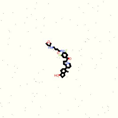 Cc1c(-c2cccn3c(C(=O)c4cc(F)c(NC(=O)/C=C/CN[C@@H]5CCOC5)c(F)c4)ccc23)ccc2c1CCC2O